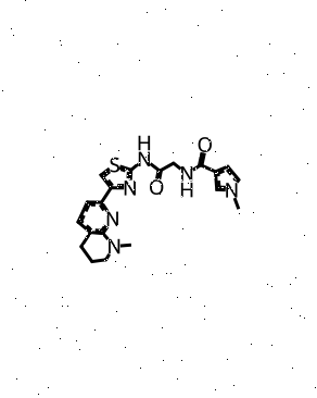 CN1CCCc2ccc(-c3csc(NC(=O)CNC(=O)c4ccn(C)c4)n3)nc21